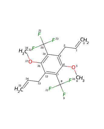 C=CCc1c(OC)c(C(F)(F)F)c(CC=C)c(OC)c1C(F)(F)F